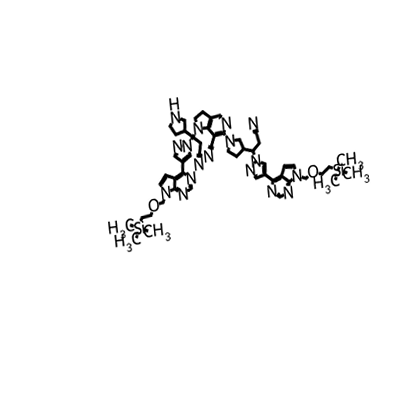 C[Si](C)(C)CCOCn1ccc2c(-c3cnn(C(CC#N)C4CCN(c5ncc6c(c5C#N)N(C(CC#N)(C5CCNC5)n5cc(-c7ncnc8c7ccn8COCC[Si](C)(C)C)cn5)CC6)C4)c3)ncnc21